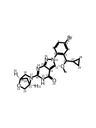 COC(c1cc(Br)ccc1-n1cc2c(=O)[nH]c(N3C[C@H]4C[C@@H]3CO4)nc2n1)C1CC1